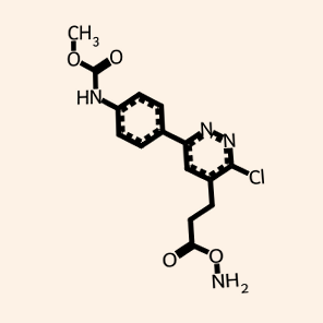 COC(=O)Nc1ccc(-c2cc(CCC(=O)ON)c(Cl)nn2)cc1